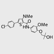 CNc1cc(-c2ccc(Cl)cc2)sc1C(=O)Nc1ccc(OCC(C)(C)O)c(OC)c1